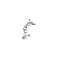 CCCOc1ccc(CN2CCc3cc(C(C)NC(C)=O)ccc3C2)cc1Cl